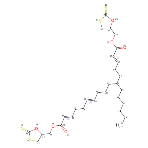 CCCCCCC(CC/C=C/C(=O)OCC1CSC(=S)O1)CCC/C=C/CC/C=C/C(=O)OCC1CSC(=S)O1